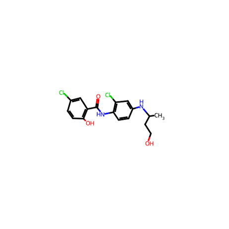 CC(CCO)Nc1ccc(NC(=O)c2cc(Cl)ccc2O)c(Cl)c1